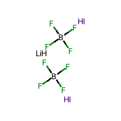 F[B-](F)(F)F.F[B-](F)(F)F.I.I.[LiH]